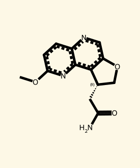 COc1ccc2ncc3c(c2n1)[C@@H](CC(N)=O)CO3